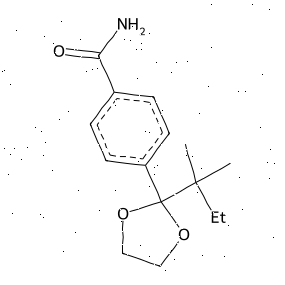 CCC(C)(C)C1(c2ccc(C(N)=O)cc2)OCCO1